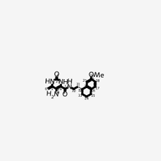 C=C1NC(=O)NC(C(=O)NCC[C@H]2CCCc3ccc(OC)cc32)=C1N